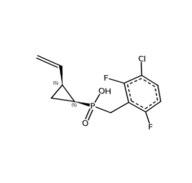 C=C[C@@H]1C[C@@H]1P(=O)(O)Cc1c(F)ccc(Cl)c1F